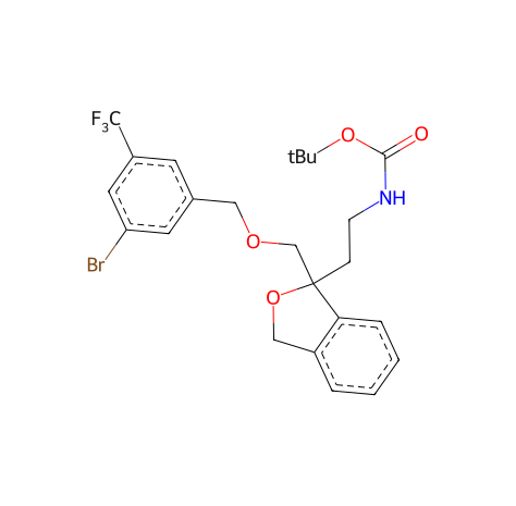 CC(C)(C)OC(=O)NCCC1(COCc2cc(Br)cc(C(F)(F)F)c2)OCc2ccccc21